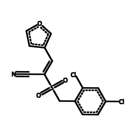 N#CC(=Cc1ccoc1)S(=O)(=O)Cc1ccc(Cl)cc1Cl